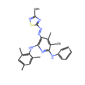 CSc1nsc(N=Nc2c(Nc3c(C)cc(C)cc3C)nc(Nc3ccccc3)c(C#N)c2C)n1